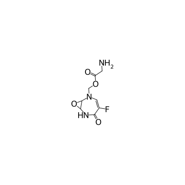 NCC(=O)OCN1C=C(F)C(=O)NC2OC21